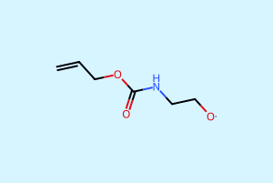 C=CCOC(=O)NCC[O]